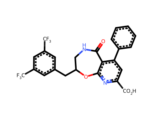 O=C(O)c1cc(-c2ccccc2)c2c(n1)OC(Cc1cc(C(F)(F)F)cc(C(F)(F)F)c1)CNC2=O